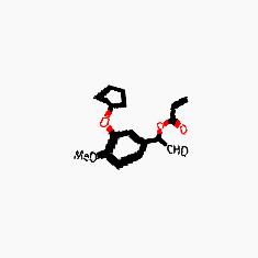 C=CC(=O)OC(C=O)c1ccc(OC)c(OC2CCCC2)c1